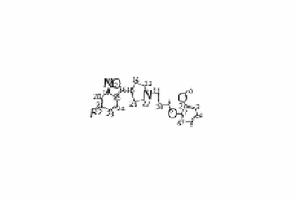 COc1c[c]ccc1OCCCN1CCC(c2onc3cc(F)ccc23)CC1